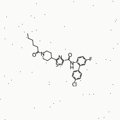 CCCCCC(=O)N1CCC(c2nc(C(=O)Nc3ccc(F)cc3-c3ccc(Cl)cc3)cs2)CC1